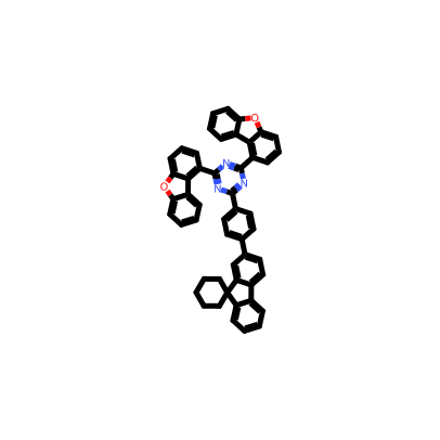 c1ccc2c(c1)-c1ccc(-c3ccc(-c4nc(-c5cccc6oc7ccccc7c56)nc(-c5cccc6oc7ccccc7c56)n4)cc3)cc1C21CCCCC1